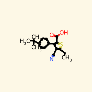 CCc1sc(C(=O)O)c(-c2ccc(C(C)(C)C)cc2)c1C#N